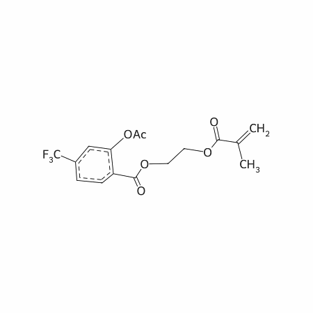 C=C(C)C(=O)OCCOC(=O)c1ccc(C(F)(F)F)cc1OC(C)=O